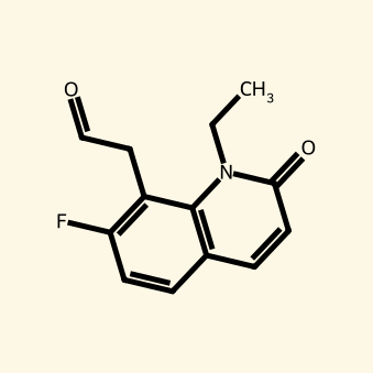 CCn1c(=O)ccc2ccc(F)c(CC=O)c21